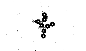 [2H]c1ccc2c(c1)c1cc([2H])c(N(c3ccc(-c4ccccc4)cc3)c3ccc(-c4ccccc4)cc3)cc1n2-c1ccc2oc3ccccc3c2c1